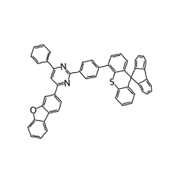 c1ccc(-c2cc(-c3ccc4c(c3)oc3ccccc34)nc(-c3ccc(-c4cccc5c4Sc4ccccc4C54c5ccccc5-c5ccccc54)cc3)n2)cc1